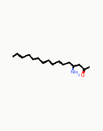 CCCCCCCCCCCCC(N)CC(C)=O